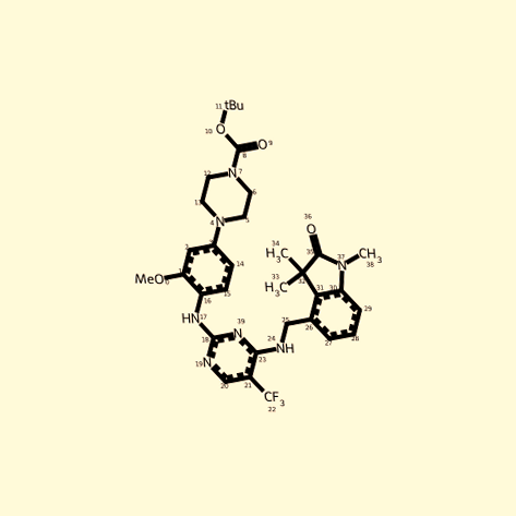 COc1cc(N2CCN(C(=O)OC(C)(C)C)CC2)ccc1Nc1ncc(C(F)(F)F)c(NCc2cccc3c2C(C)(C)C(=O)N3C)n1